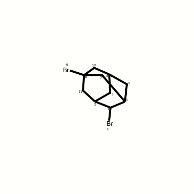 BrC1C2CC3CC1CC(Br)(C3)C2